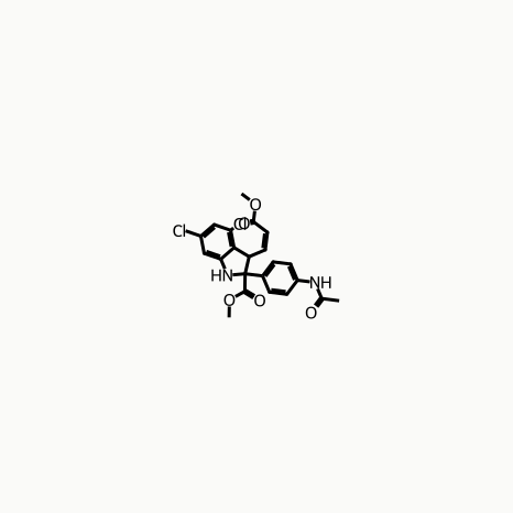 COC(=O)/C=C\C1c2c(Cl)cc(Cl)cc2NC1(C(=O)OC)c1ccc(NC(C)=O)cc1